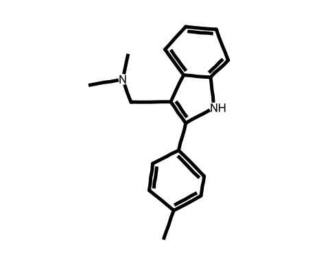 Cc1ccc(-c2[nH]c3ccccc3c2CN(C)C)cc1